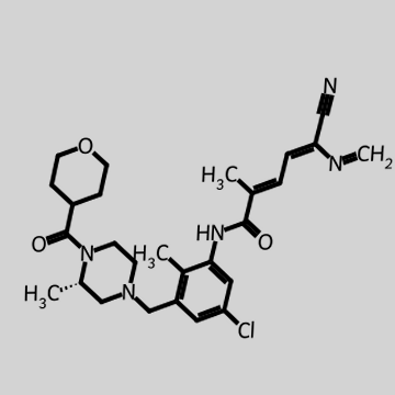 C=N/C(C#N)=C\C=C(/C)C(=O)Nc1cc(Cl)cc(CN2CCN(C(=O)C3CCOCC3)[C@@H](C)C2)c1C